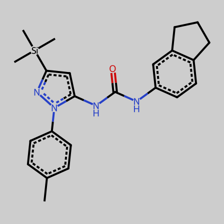 Cc1ccc(-n2nc([Si](C)(C)C)cc2NC(=O)Nc2ccc3c(c2)CCC3)cc1